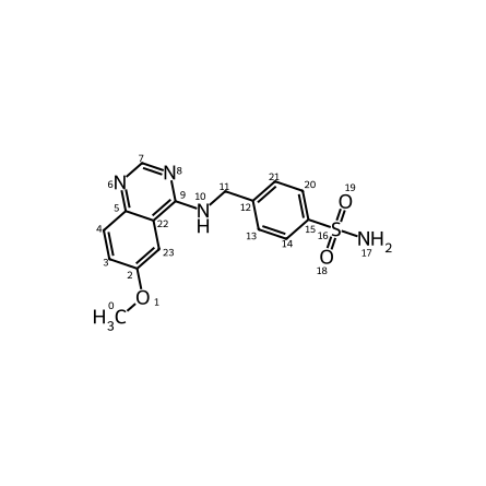 COc1ccc2ncnc(NCc3ccc(S(N)(=O)=O)cc3)c2c1